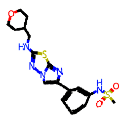 CS(=O)(=O)Nc1cccc(-c2cn3nc(NCC4CCOCC4)sc3n2)c1